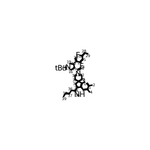 C=C(C)/C(C)=C\C1=C(C)C2(CCN(C(=C)[C@@H]3CN(C(C)(C)C)C[C@H]3C(=C)/C(F)=C\C(F)=C/C)CC2)CC1C(=N)C/C=C/C